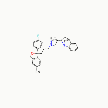 C=C(CNCCCC1(c2ccc(F)cc2)OCc2cc(C#N)ccc21)C1Cc2cn1c1ccccc21